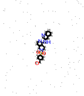 O=Cc1ccc(S(=O)(=O)N2CCc3c(ccnc3Nc3cnc4ccccc4c3)C2)cc1